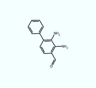 Nc1c(C=O)ccc(-c2ccccc2)c1N